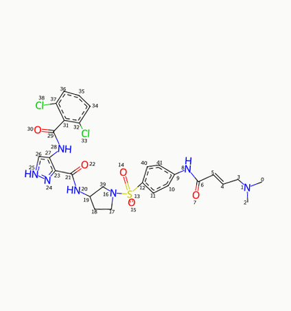 CN(C)CC=CC(=O)Nc1ccc(S(=O)(=O)N2CCC(NC(=O)c3n[nH]cc3NC(=O)c3c(Cl)cccc3Cl)C2)cc1